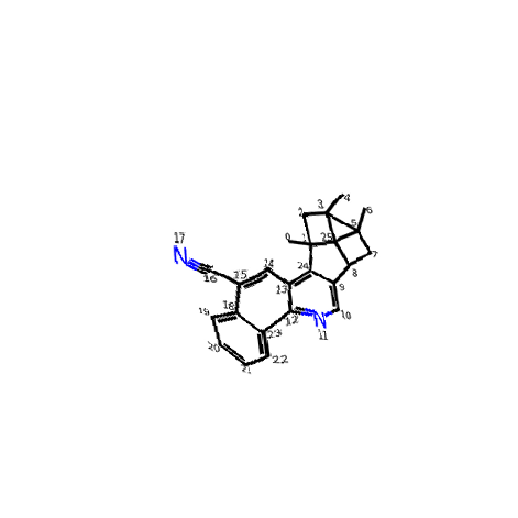 CC12CC3(C)C4(C)CC(c5cnc6c(cc(C#N)c7ccccc76)c51)C243